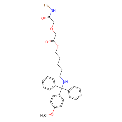 COc1ccc(C(NCCCCCOC(=O)COCC(=O)NS)(c2ccccc2)c2ccccc2)cc1